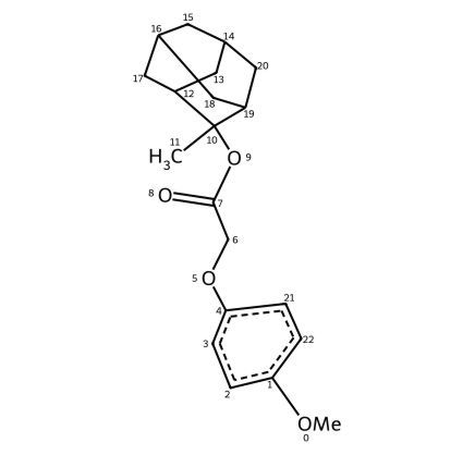 COc1ccc(OCC(=O)OC2(C)C3CC4CC(C3)CC2C4)cc1